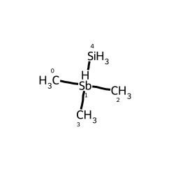 [CH3][SbH]([CH3])([CH3])[SiH3]